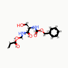 CCC(=O)OCNC(=O)[C@@H](CO)NC(=O)OCc1ccccc1